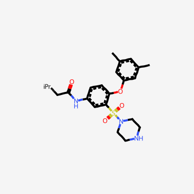 Cc1cc(C)cc(Oc2ccc(NC(=O)CC(C)C)cc2S(=O)(=O)N2CCNCC2)c1